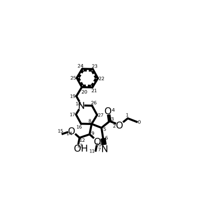 CCOC(=O)C(C#N)C1(C(OC)C(O)OC)CCN(Cc2ccccc2)CC1